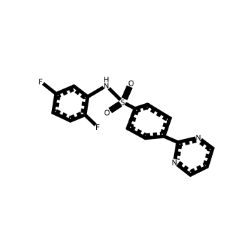 O=S(=O)(Nc1cc(F)ccc1F)c1ccc(-c2ncccn2)cc1